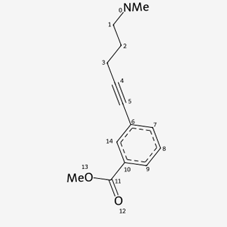 CNCCCC#Cc1cccc(C(=O)OC)c1